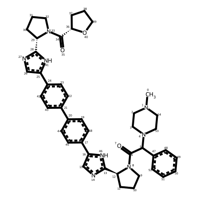 CN1CCN(C(C(=O)N2CCC[C@H]2c2ncc(-c3ccc(-c4ccc(-c5cnc([C@@H]6CCCN6C(=O)[C@@H]6CCCO6)[nH]5)cc4)cc3)[nH]2)c2ccccc2)CC1